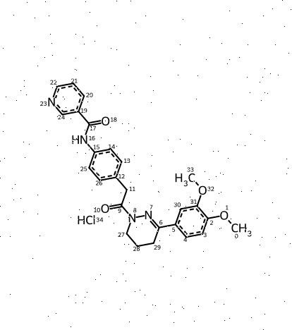 COc1ccc(C2=NN(C(=O)Cc3ccc(NC(=O)c4cccnc4)cc3)CCC2)cc1OC.Cl